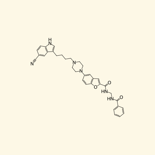 N#Cc1ccc2[nH]cc(CCCCN3CCN(c4ccc5oc(C(=O)NCNC(=O)c6ccccc6)cc5c4)CC3)c2c1